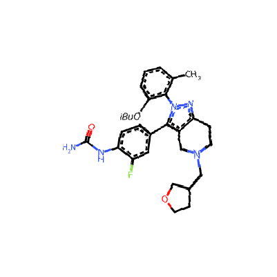 Cc1cccc(OCC(C)C)c1-n1nc2c(c1-c1ccc(NC(N)=O)c(F)c1)CN(CC1CCOC1)CC2